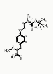 COC(Cc1ccc(OCCN(C)C(=O)OC(C)(C)C)cc1)C(=O)O